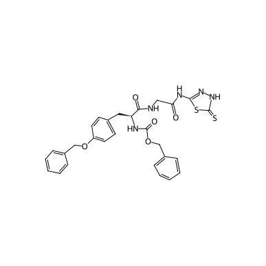 O=C(CNC(=O)[C@H](Cc1ccc(OCc2ccccc2)cc1)NC(=O)OCc1ccccc1)Nc1n[nH]c(=S)s1